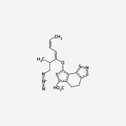 C/C=C\C=C(\Oc1sc(C(=O)O)c2c1-c1sncc1CC2)C(C)CN=[N+]=[N-]